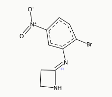 O=[N+]([O-])c1ccc(Br)c(/N=C2\CCN2)c1